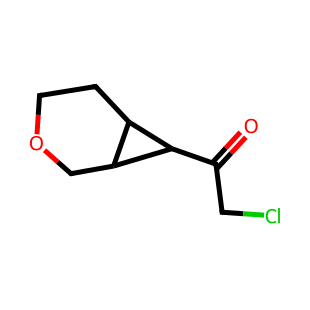 O=C(CCl)C1C2CCOCC21